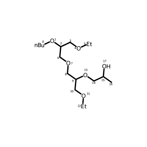 CCCCOC(COCC)COCC(COCC)OCC(C)O